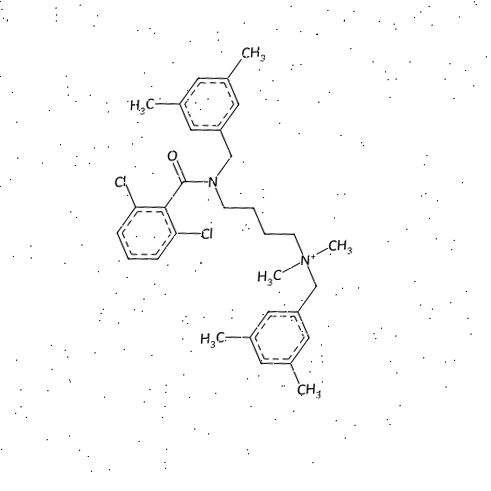 Cc1cc(C)cc(CN(CCCC[N+](C)(C)Cc2cc(C)cc(C)c2)C(=O)c2c(Cl)cccc2Cl)c1